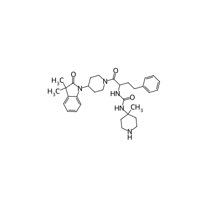 CC1(NC(=O)NC(CCc2ccccc2)C(=O)N2CCC(N3C(=O)C(C)(C)c4ccccc43)CC2)CCNCC1